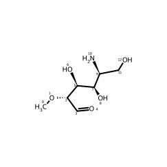 CO[C@@H](C=O)[C@@H](O)[C@H](O)[C@@H](N)CO